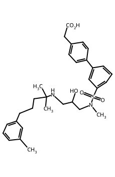 Cc1cccc(CCCC(C)(C)NCC(O)CN(C)S(=O)(=O)c2cccc(-c3ccc(CC(=O)O)cc3)c2)c1